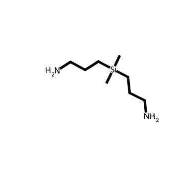 C[Si](C)(CCCN)CCCN